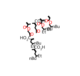 C=C(C)C(=O)OCC(CC)CCCC.C=C(C)C(=O)OCC1CO1.C=C(CC(CC)CCCC)C(=O)O.C=CC(=O)OCC(CC)CCCC.CC(=CCC1CO1)C(=O)O.CCCCC(CC)CC=C(C)C(=O)O